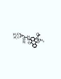 CCN(CC)CC(O)CNc1ccc(N(C)C2CO2)c2c1C(=O)c1ccccc1C2=O